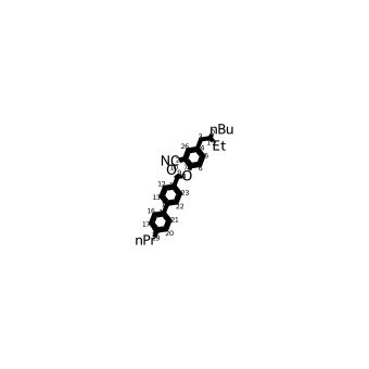 CCCCC(CC)Cc1ccc(OC(=O)c2ccc(-c3ccc(CCC)cc3)cc2)c(C#N)c1